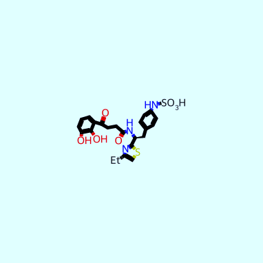 CCc1csc([C@H](Cc2ccc(NS(=O)(=O)O)cc2)NC(=O)CCC(=O)c2cccc(O)c2O)n1